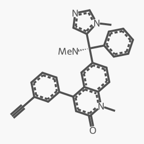 C#Cc1cccc(-c2cc(=O)n(C)c3ccc([C@](NC)(c4ccccc4)c4cncn4C)cc23)c1